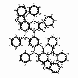 c1ccc(N2c3cc4c(cc3B3c5ccccc5N(c5ccccc5)c5c3c2cc2oc3ccccc3c52)B2c3oc5ccccc5c3N(c3ccccc3)c3c2c(cc2oc5ccccc5c32)N4c2ccccc2)cc1